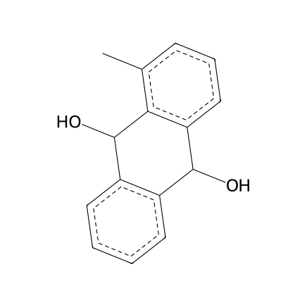 Cc1cccc2c1C(O)c1ccccc1C2O